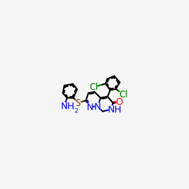 Nc1ccccc1SC1=NN2CNC(=O)C(c3c(Cl)cccc3Cl)=C2C=C1